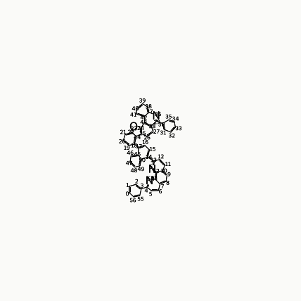 c1ccc(-c2ccc3ccc4ccc(-c5ccc(-c6cccc7oc8c(ccc9c(-c%10ccccc%10)nc%10ccccc%10c98)c67)c6ccccc56)nc4c3n2)cc1